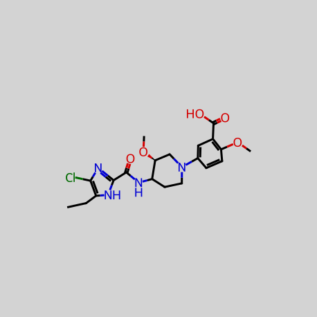 CCc1[nH]c(C(=O)NC2CCN(c3ccc(OC)c(C(=O)O)c3)C[C@@H]2OC)nc1Cl